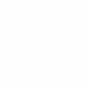 ClC1(Br)C=CC(c2ccccc2)C=C1